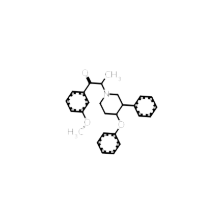 COc1cccc(C(=O)C(C)N2CCC(Oc3ccccc3)C(c3ccccc3)C2)c1